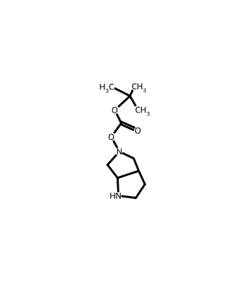 CC(C)(C)OC(=O)ON1CC2CCNC2C1